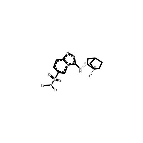 CCN(CC)S(=O)(=O)c1ccc2nnc(N[C@@H]3CC4CC[C@@H]3C4)n2c1